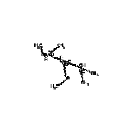 CCCCCCCCC(OC(=O)CCCCCCC)C(O)CCCCCCCC(=O)OCC(COC(=O)CCCCCCCC(OC(=O)CCCCCCC)C(O)CC1OC1CCCCC)OC(=O)CCCCCCCC1OC1CCCCCCCC